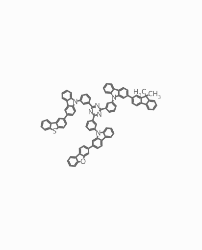 CC1(C)c2ccccc2-c2ccc(-c3ccc4c5ccccc5n(-c5cccc(-c6nc(-c7cccc(-n8c9ccccc9c9cc(-c%10ccc%11sc%12ccccc%12c%11c%10)ccc98)c7)nc(-c7cccc(-n8c9ccccc9c9ccc(-c%10ccc%11c(c%10)oc%10ccccc%10%11)cc98)c7)n6)c5)c4c3)cc21